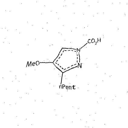 CCCCCc1nn(C(=O)O)cc1OC